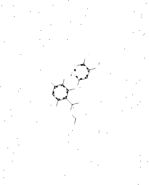 CCSC(C)c1c(C)cc(C)c(C)c1Oc1cc(OC)c(Cl)nn1